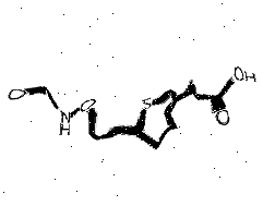 O=CNOCC1CC=C(CC(=O)O)S1